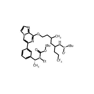 CCN(C(=O)OC(C)(C)C)[C@H](C)c1cccc(-c2cn3ccnc3c(OCCC(C)CC(CCC(F)(F)F)N[S+]([O-])C(C)(C)C)n2)c1